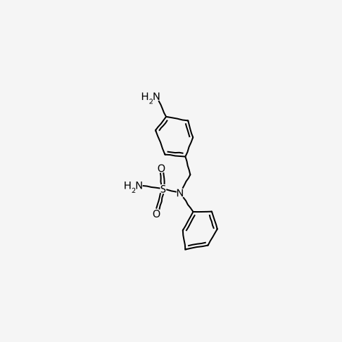 Nc1ccc(CN(c2ccccc2)S(N)(=O)=O)cc1